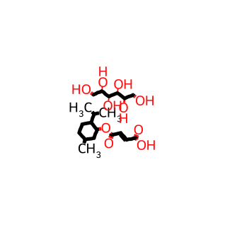 CC1CCC(C(C)C)C(OC(=O)/C=C/C(=O)O)C1.OC[C@@H](O)[C@@H](O)[C@H](O)[C@@H](O)CO